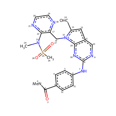 CNC(=O)c1ccc(Nc2ncc3cc(C=O)n(Cc4nccnc4N(C)S(C)(=O)=O)c3n2)cc1